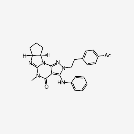 CC(=O)c1ccc(CCn2nc3c(c2Nc2ccccc2)C(=O)N(C)C2=N[C@@H]4CCC[C@@H]4N23)cc1